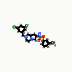 O=S(=O)(NC1CC2CN(Cc3cc(Cl)cc(Cl)c3)CCN2C1)c1cccc(C(F)(F)F)c1